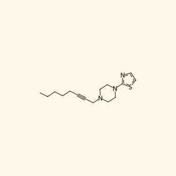 CCCCCC#CCN1CCN(c2nccs2)CC1